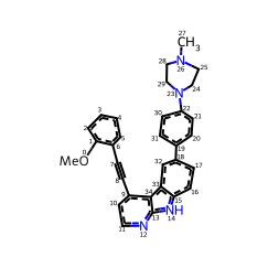 COc1ccccc1C#Cc1ccnc2[nH]c3ccc(-c4ccc(N5CCN(C)CC5)cc4)cc3c12